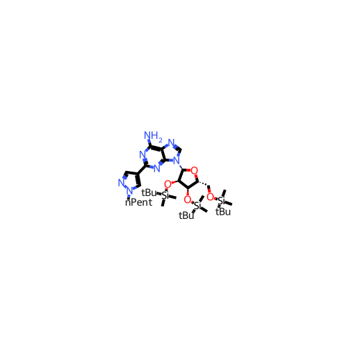 CCCCCn1cc(-c2nc(N)c3ncn([C@@H]4O[C@H](CO[Si](C)(C)C(C)(C)C)[C@@H](O[Si](C)(C)C(C)(C)C)[C@H]4O[Si](C)(C)C(C)(C)C)c3n2)cn1